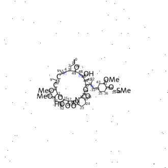 C=CCC1/C=C(/C)CC(C)CC(OC)C2OC(O)(C(=O)C(=O)N3CCCCC3C(=O)OC(/C(C)=C/C3CCC(OCSC)C(OC)C3)C(C)/C(O)=C\C1=O)C(C)CC2OC